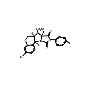 CCOC(=O)[C@@H]1[C@H]2COc3cc(CC)ccc3[C@H]2N2C(=O)N(c3ccc(C)cc3)C(=O)[C@@]12C